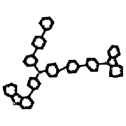 c1ccc(-c2ccc(-c3cccc(N(c4ccc(-c5ccc(-c6ccc(-n7c8ccccc8c8ccccc87)cc6)cc5)cc4)c4ccc(-c5cccc6oc7ccccc7c56)cc4)c3)cc2)cc1